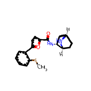 CSc1ccccc1-c1ccc(C(=O)N[C@@H]2C[C@H]3CC[C@@H]2N3)o1